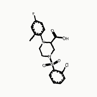 Cc1cc(F)ccc1N1CCN(S(=O)(=O)c2ccccc2Cl)CC1C(=O)O